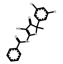 CC1(c2cc(Cl)cc(Cl)c2)OC(NC(=O)c2ccccc2)=C(O)C1=O